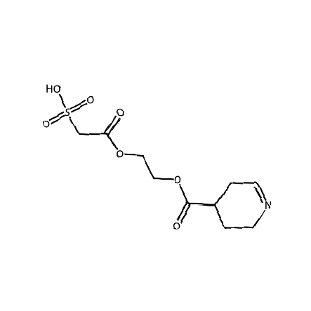 O=C(CS(=O)(=O)O)OCCOC(=O)C1CC=NCC1